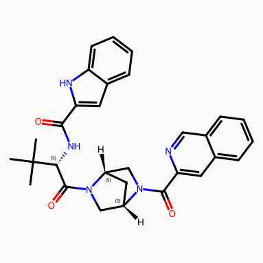 CC(C)(C)[C@H](NC(=O)c1cc2ccccc2[nH]1)C(=O)N1C[C@@H]2C[C@H]1CN2C(=O)c1cc2ccccc2cn1